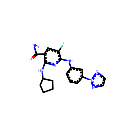 NC(=O)c1cc(F)c(Nc2cccc(-n3nccn3)c2)nc1NC1CCCC1